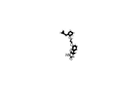 CC1(c2cccc(OCCCOc3ccccc3CC3CC3)c2)SC(=O)NC1=O